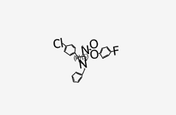 CN(C(=O)Oc1ccc(F)cc1)[C@@H]1CN(Cc2ccccc2)C[C@H]1c1ccc(Cl)cc1